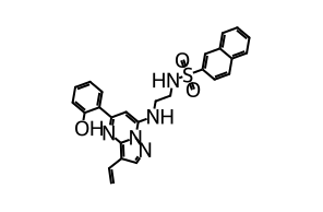 C=Cc1cnn2c(NCCNS(=O)(=O)c3ccc4ccccc4c3)cc(-c3ccccc3O)nc12